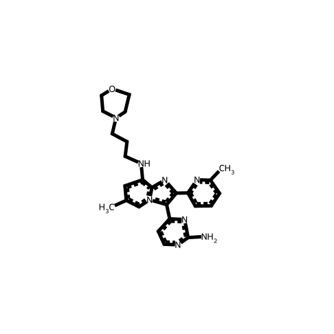 Cc1cc(NCCCN2CCOCC2)c2nc(-c3cccc(C)n3)c(-c3ccnc(N)n3)n2c1